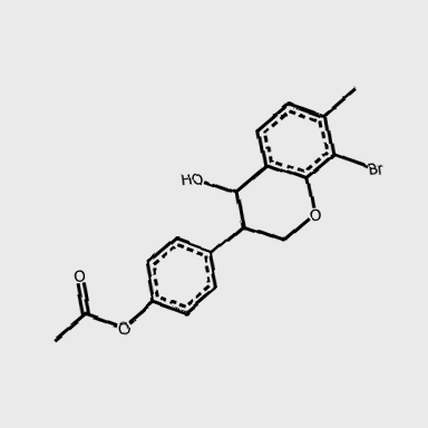 CC(=O)Oc1ccc(C2COc3c(ccc(C)c3Br)C2O)cc1